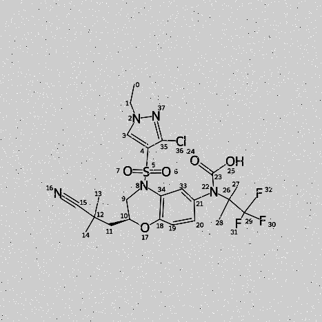 CCn1cc(S(=O)(=O)N2C[C@H](CC(C)(C)C#N)Oc3ccc(N(C(=O)O)C(C)(C)C(F)(F)F)cc32)c(Cl)n1